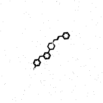 Fc1ccc(Cc2cccc(C3CCN(CC=Cc4ccccc4)CC3)c2)cc1